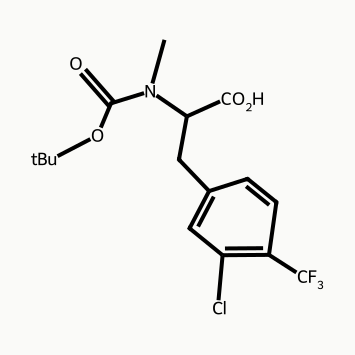 CN(C(=O)OC(C)(C)C)C(Cc1ccc(C(F)(F)F)c(Cl)c1)C(=O)O